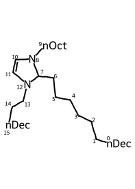 CCCCCCCCCCCCCCCCC1N(CCCCCCCC)C=CN1CCCCCCCCCCCC